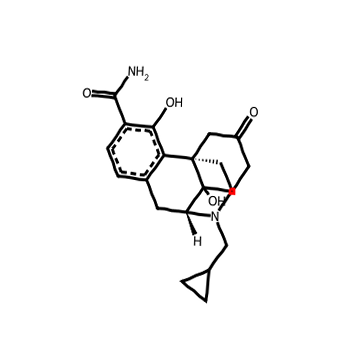 NC(=O)c1ccc2c(c1O)[C@]13CCN(CC4CC4)[C@H](C2)C1(O)CCC(=O)C3